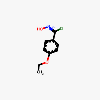 CCOc1ccc(/C(Cl)=N\O)cc1